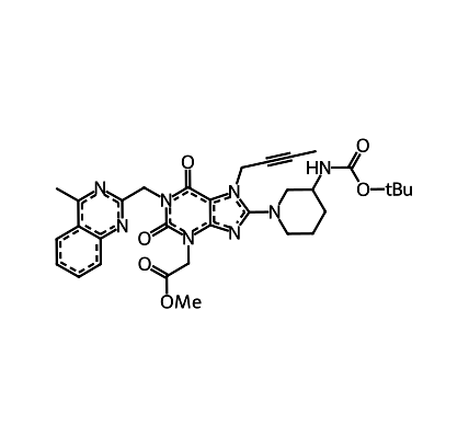 CC#CCn1c(N2CCCC(NC(=O)OC(C)(C)C)C2)nc2c1c(=O)n(Cc1nc(C)c3ccccc3n1)c(=O)n2CC(=O)OC